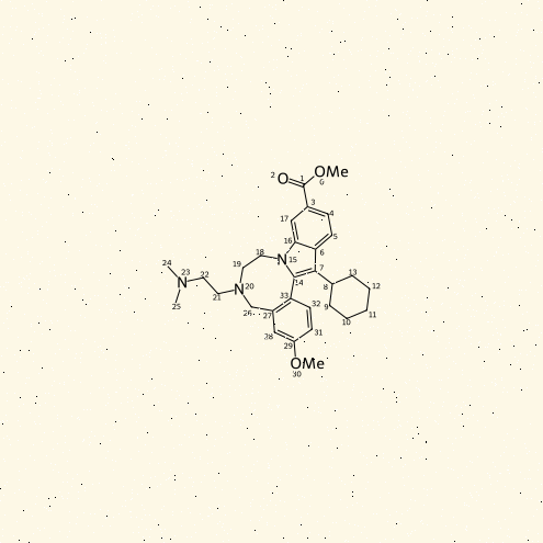 COC(=O)c1ccc2c(C3CCCCC3)c3n(c2c1)CCN(CCN(C)C)Cc1cc(OC)ccc1-3